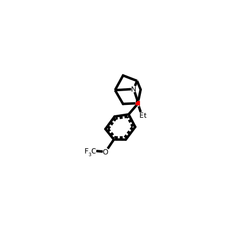 CCN1CC2CC(C1)N2Cc1ccc(OC(F)(F)F)cc1